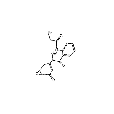 CC(C)CC(=O)Oc1ccccc1C(=O)N(O)C1=CC(=O)C2OC2C1